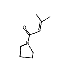 CC(C)=CC(=O)N1CCCC1